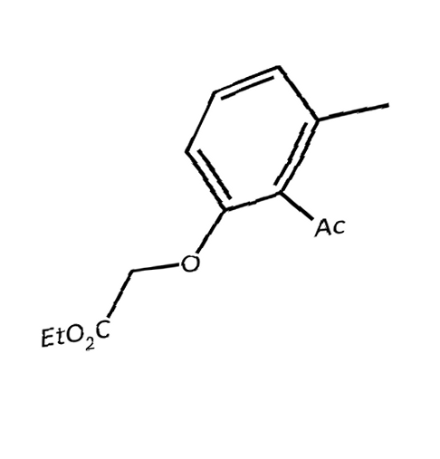 CCOC(=O)COc1cccc(C)c1C(C)=O